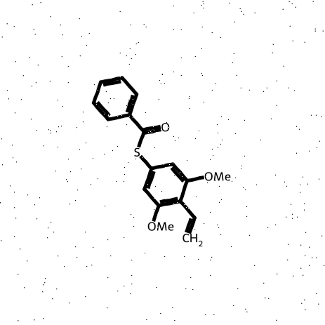 C=Cc1c(OC)cc(SC(=O)c2ccccc2)cc1OC